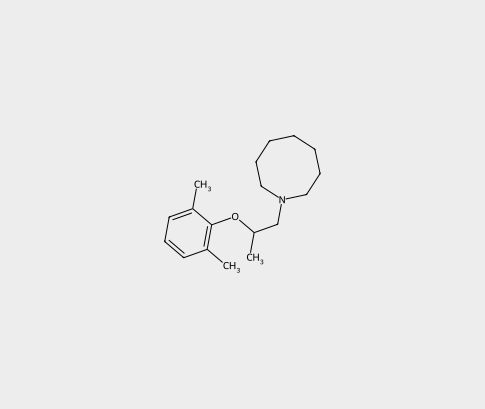 Cc1cccc(C)c1OC(C)CN1CCCCCCC1